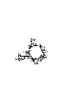 COC1CC(C=C(C)C2OC(=O)C3CCCCN3C(=O)C(=O)C3(O)OC(C(OC)CC(C)CC(C)=CC(CC(O)CO)C(=O)CC(O)C2C)C(OC)CC3C)CCC1O